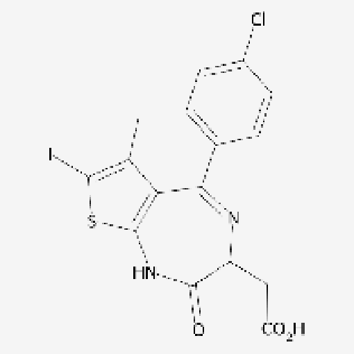 Cc1c(I)sc2c1C(c1ccc(Cl)cc1)=NC(CC(=O)O)C(=O)N2